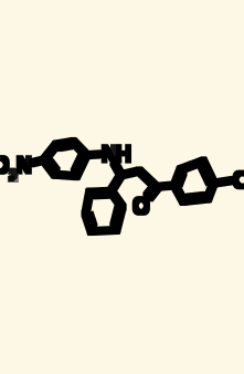 O=C(CC(Nc1ccc([N+](=O)[O-])cc1)c1ccccc1)c1ccc(Cl)cc1